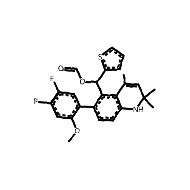 COc1cc(F)c(F)cc1-c1ccc2c(c1C(OC=O)c1cccs1)C(C)=CC(C)(C)N2